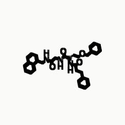 O=C(CNC(=O)[C@H](CCOCc1ccccc1)NC(=O)CCc1ccccc1)NCc1cccc2ccccc12